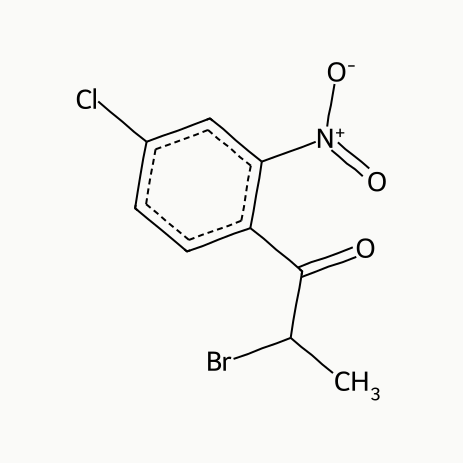 CC(Br)C(=O)c1ccc(Cl)cc1[N+](=O)[O-]